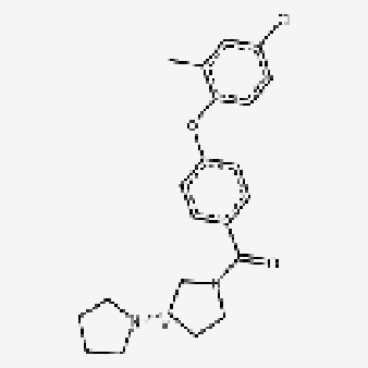 Cc1cc(Cl)ccc1Oc1ccc(C(=O)N2CC[C@H](N3CCCC3)C2)cc1